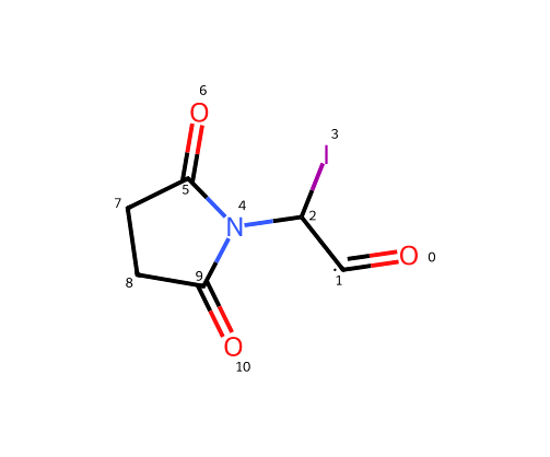 O=[C]C(I)N1C(=O)CCC1=O